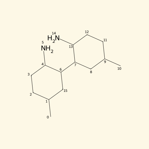 CC1CCC(N)C(C2CC(C)CCC2N)C1